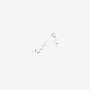 C=C1/C(=C\C=C2/CCC[C@]3(C)[C@@H]([C@H](C)CC[C@@H](OC(=O)NC)C4(c5ncc(CCCC)o5)CC4)CC[C@@H]23)C[C@@H](O)C[C@@H]1O